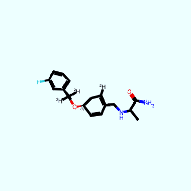 [2H]C1=C(CNC(C)C(N)=O)C=C[C@@H](OC([2H])([2H])c2cccc(F)c2)C1